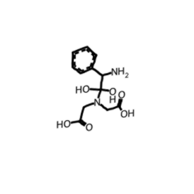 NC(c1ccccc1)C(O)(O)N(CC(=O)O)CC(=O)O